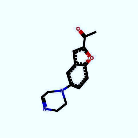 CC(=O)c1cc2cc(N3CC=NCC3)ccc2o1